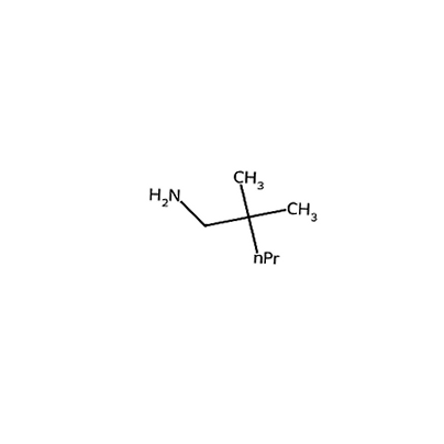 [CH2]CCC(C)(C)CN